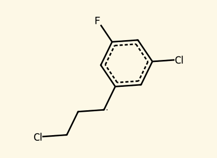 Fc1cc(Cl)cc([CH]CCCl)c1